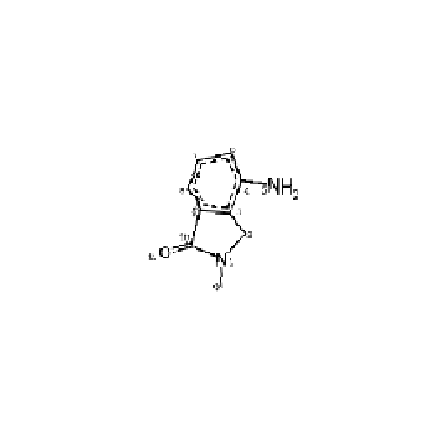 CN1Cc2c(N)cccc2C1=O